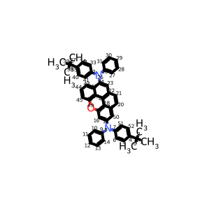 CC(C)(C)c1ccc(N(c2ccccc2)c2cc3c4c(ccc5cc(N(c6ccccc6)c6ccc(C(C)(C)C)cc6)c6cccc(c6c54)O3)c2)cc1